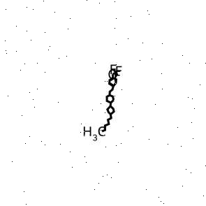 CCCCCCC1CCC(C2CCC(CCc3ccc(OC(F)(F)F)cc3)CC2)CC1